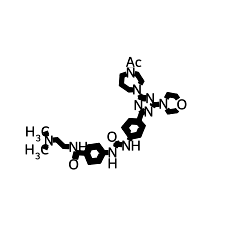 CC(=O)N1CCCN(c2nc(-c3ccc(NC(=O)Nc4ccc(C(=O)NCCN(C)C)cc4)cc3)nc(N3CCOCC3)n2)CC1